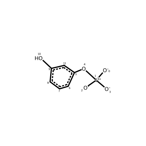 [O-][I+3]([O-])([O-])Oc1cccc(O)c1